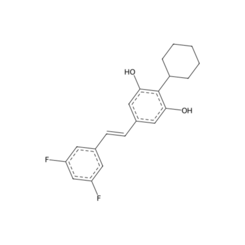 Oc1cc(/C=C/c2cc(F)cc(F)c2)cc(O)c1C1CCCCC1